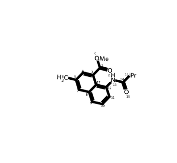 COC(=O)c1cc(C)cc2cccc(NC(=O)C(C)C)c12